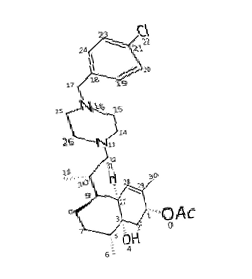 CC(=O)O[C@@H]1[C][C@@]2(O)[C@H](C)CC[C@@H]([C@H](C)CN3CCN(Cc4ccc(Cl)cc4)CC3)[C@H]2C=C1C